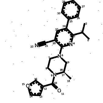 CC(C)c1nc(N2CCN(C(=O)c3ccoc3)[C@H](C)C2)c(C#N)cc1-c1ccccc1